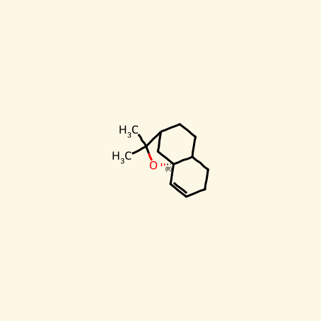 CC1(C)O[C@@]23C=CCCC2CCC1C3